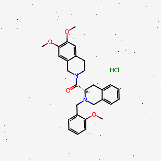 COc1ccccc1CN1Cc2ccccc2C[C@H]1C(=O)N1CCc2cc(OC)c(OC)cc2C1.Cl